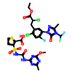 CCOC(=O)C(Cl)Cc1cc(-n2nc(C)n(C(F)F)c2=O)c(F)cc1Cl.COc1nc(C)nc(NC(=O)NS(=O)(=O)c2ccsc2C(=O)O)n1